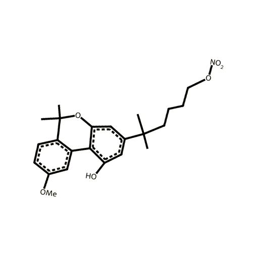 COc1ccc2c(c1)-c1c(O)cc(C(C)(C)CCCCO[N+](=O)[O-])cc1OC2(C)C